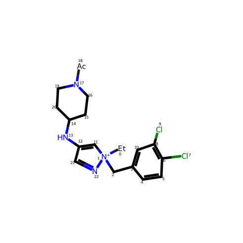 CC[N+]1(Cc2ccc(Cl)c(Cl)c2)C=C(NC2CCN(C(C)=O)CC2)C=N1